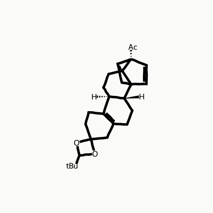 CC(=O)[C@@]12C=CC3(CC1)[C@@H]1CCC4=C(CCC5(C4)OC(C(C)(C)C)O5)[C@H]1CC[C@@]32C